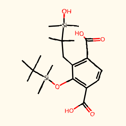 CC(C)(Cc1c(C(=O)O)ccc(C(=O)O)c1O[Si](C)(C)C(C)(C)C)[Si](C)(C)O